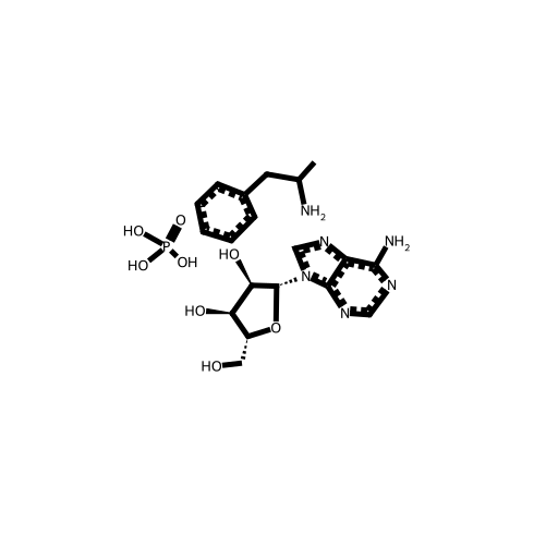 CC(N)Cc1ccccc1.Nc1ncnc2c1ncn2[C@@H]1O[C@H](CO)[C@@H](O)[C@H]1O.O=P(O)(O)O